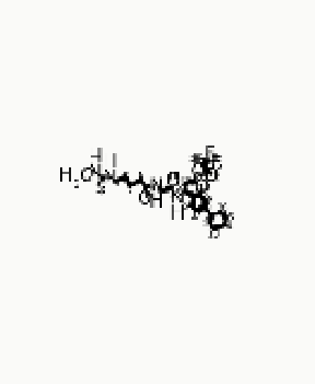 CNC(=S)NCCCCC(=O)NCC(=O)NC(CC(=O)OC(=O)C(F)(F)F)c1ccc(-c2ccccc2)cc1